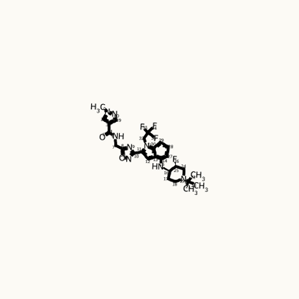 Cn1cc(C(=O)NCc2nc(-c3cc4c(N[C@@H]5CCN(C(C)(C)C)C[C@H]5F)cccc4n3CC(F)(F)F)no2)cn1